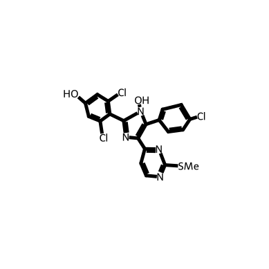 CSc1nccc(-c2nc(-c3c(Cl)cc(O)cc3Cl)n(O)c2-c2ccc(Cl)cc2)n1